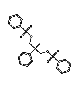 CC(COS(=O)(=O)c1ccccc1)(COS(=O)(=O)c1ccccc1)c1ccccn1